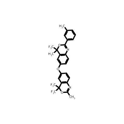 CC1=Nc2ccc(Oc3ccc4c(c3)C(C)(C(F)(F)F)OC(c3cccc(C)c3)=N4)cc2C(C(F)(F)F)(C(F)(F)F)O1